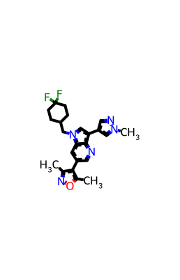 Cc1noc(C)c1-c1cnc2c(-c3cnn(C)c3)cn(CC3CCC(F)(F)CC3)c2c1